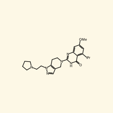 COc1cc(C(C)C)c2c(=O)[nH]c(N3CCc4c(cnn4CCN4CCCC4)C3)nc2c1